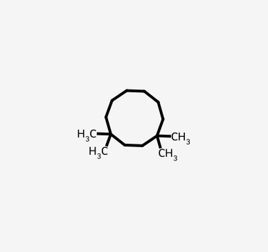 CC1(C)CCCCCCC(C)(C)CC1